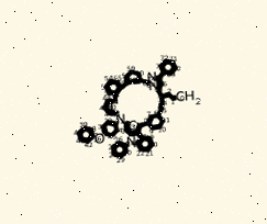 C=C/C=C1\C=C/C2C=C(C=CC2)c2cc(cc3c2c2ccccc2n3-c2ccccc2)N(C2=CC=C(Oc3ccccc3)CC2)c2cccc(c2)-c2ccccc2C2=CCCC(=C2)c2nc1cc(-c1ccccc1)n2